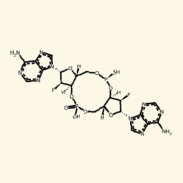 Nc1ncnc2c1ncn2[C@@H]1O[C@@H]2COP(=O)(O)O[C@H]3[C@@H](F)[C@H](n4cnc5c(N)ncnc54)O[C@@H]3CO[P@@](S)O[C@H]2[C@H]1F